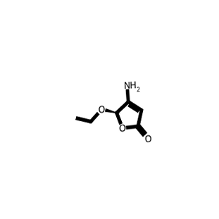 CCO[C@@H]1OC(=O)C=C1N